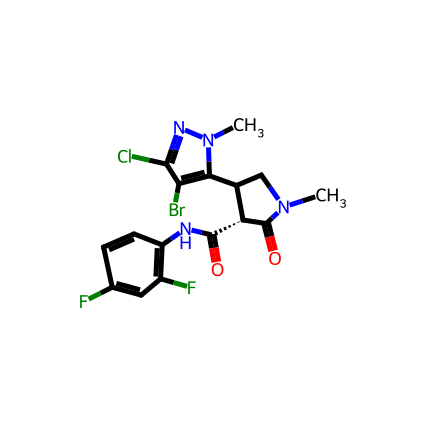 CN1CC(c2c(Br)c(Cl)nn2C)[C@@H](C(=O)Nc2ccc(F)cc2F)C1=O